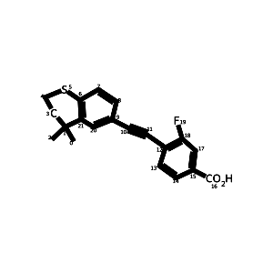 CC1(C)CCSc2ccc(C#Cc3ccc(C(=O)O)cc3F)cc21